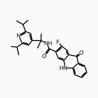 CC(C)c1cc(C(C)(C)NC(=O)c2cc3[nH]c4ccccc4c(=O)c3cc2F)cc(C(C)C)n1